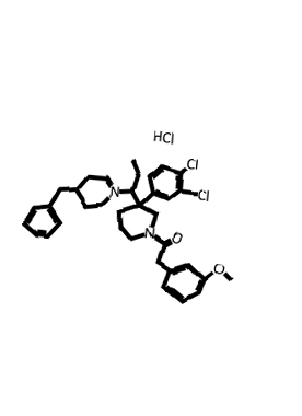 CCC(N1CCC(Cc2ccccc2)CC1)C1(c2ccc(Cl)c(Cl)c2)CCCN(C(=O)Cc2cccc(OC)c2)C1.Cl